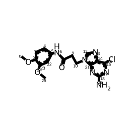 COc1ccc(NC(=O)CCn2cnc3c(Cl)nc(N)nc32)cc1OC